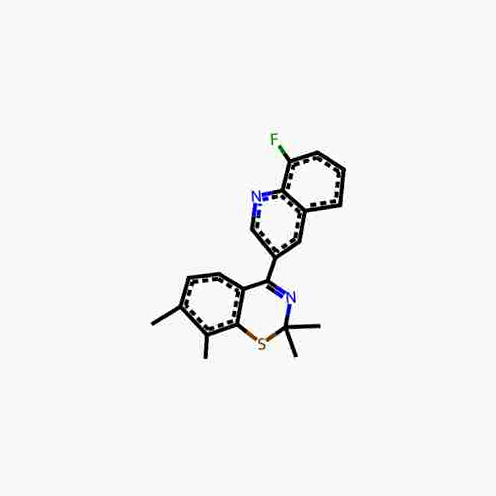 Cc1ccc2c(c1C)SC(C)(C)N=C2c1cnc2c(F)cccc2c1